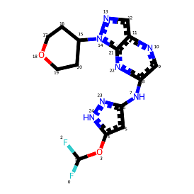 FC(F)Oc1cc(Nc2cnc3cnn(C4CCOCC4)c3n2)n[nH]1